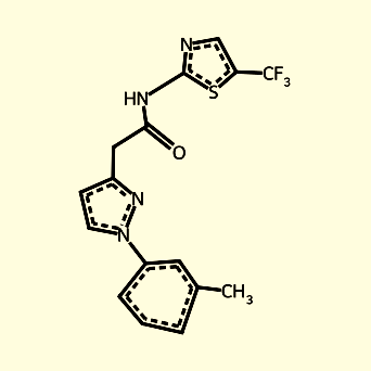 Cc1cccc(-n2ccc(CC(=O)Nc3ncc(C(F)(F)F)s3)n2)c1